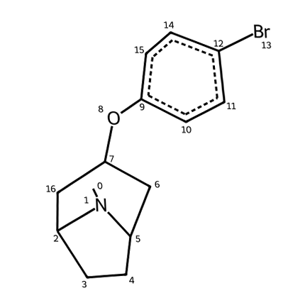 CN1C2CCC1CC(Oc1ccc(Br)cc1)C2